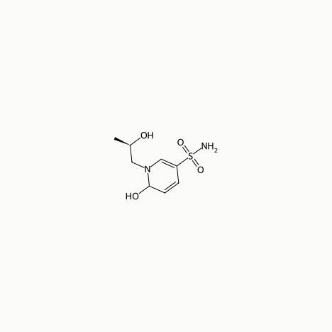 C[C@@H](O)CN1C=C(S(N)(=O)=O)C=CC1O